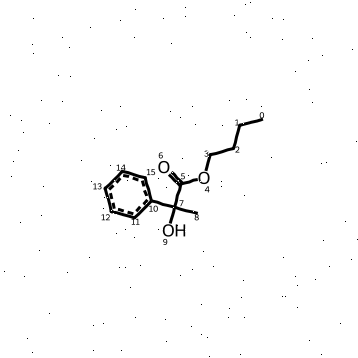 CCCCOC(=O)C(C)(O)c1ccccc1